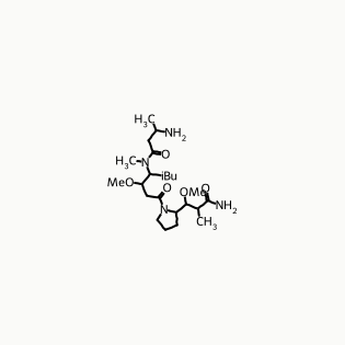 CCC(C)C(C(CC(=O)N1CCCC1C(OC)C(C)C(N)=O)OC)N(C)C(=O)CC(C)N